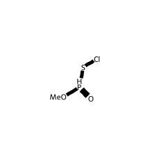 CO[PH](=O)SCl